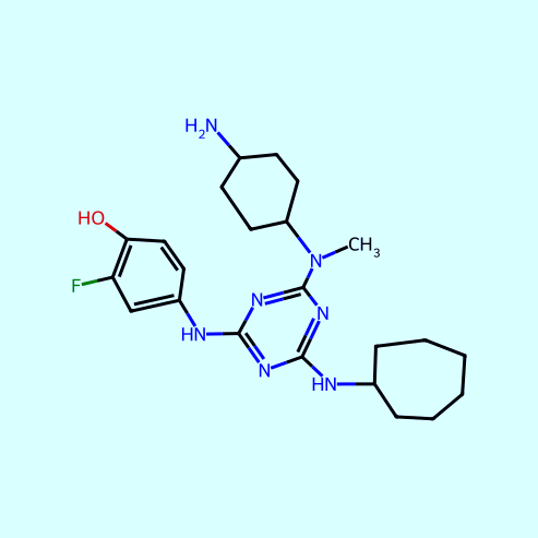 CN(c1nc(Nc2ccc(O)c(F)c2)nc(NC2CCCCCC2)n1)C1CCC(N)CC1